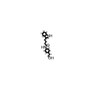 O=C(CCCc1c[nH]c2ccccc12)Nc1ccc(CCO)cc1